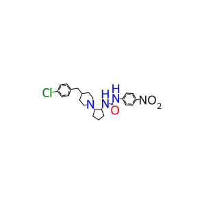 O=C(Nc1ccc([N+](=O)[O-])cc1)NC1CCCC1N1CCC(Cc2ccc(Cl)cc2)CC1